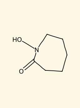 O=C1CCCCCN1O